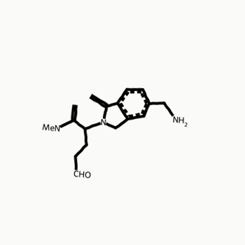 C=C(NC)C(CCC=O)N1Cc2cc(CN)ccc2C1=C